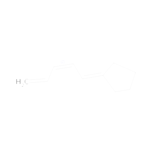 C=C/C=C\C=C1CCCC1